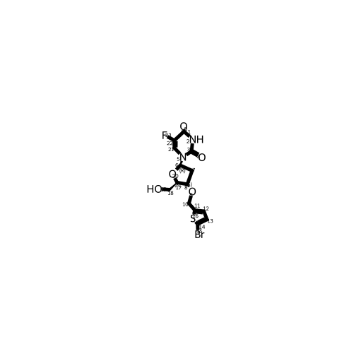 O=c1[nH]c(=O)n([C@H]2C[C@H](OCc3ccc(Br)s3)[C@@H](CO)O2)cc1F